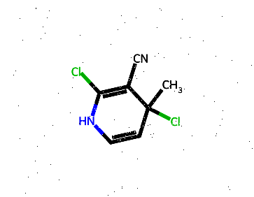 CC1(Cl)C=CNC(Cl)=C1C#N